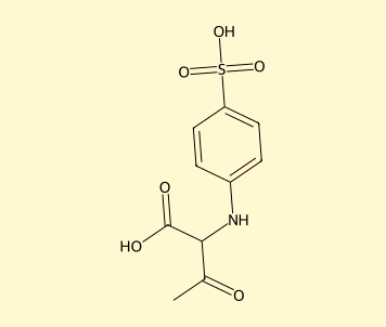 CC(=O)C(Nc1ccc(S(=O)(=O)O)cc1)C(=O)O